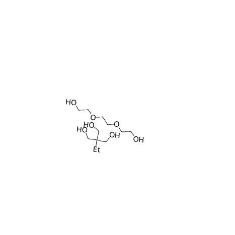 CCC(CO)(CO)CO.OCCOCCOCCO